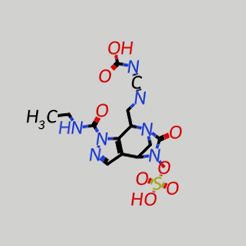 CCNC(=O)n1ncc2c1C(CN=C=NC(=O)O)N1CC2N(OS(=O)(=O)O)C1=O